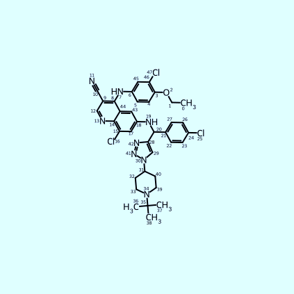 CCOc1ccc(Nc2c(C#N)cnc3c(Cl)cc(NC(c4ccc(Cl)cc4)c4cn(C5CCN(C(C)(C)C)CC5)nn4)cc23)cc1Cl